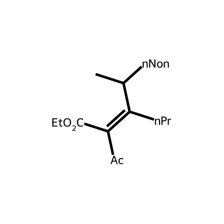 CCCCCCCCCC(C)/C(CCC)=C(/C(C)=O)C(=O)OCC